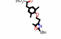 Cc1cc(C[C@H](OC(C)C)C(=O)O)cc(C)c1OCCc1nc(C(C)(C)C)oc1C